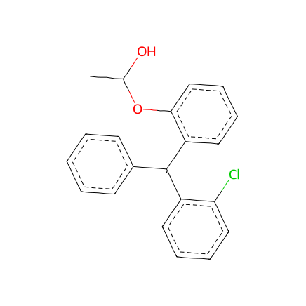 CC(O)Oc1ccccc1[C](c1ccccc1)c1ccccc1Cl